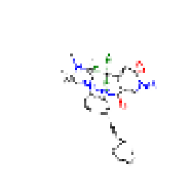 C[C@@H]1CN(c2ccc(C#CC3CCCCC3)cc2NC(=O)c2c[nH]c(=O)cc2C(F)(F)F)C[C@H](C)N1C